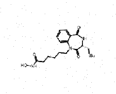 CC(C)(C)C[C@H]1NC(=O)c2ccccc2N(CCCCCC(=O)NO)C1=O